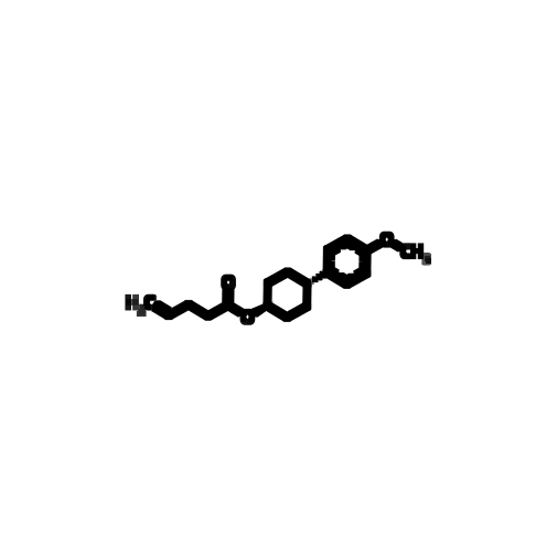 C=CCCC(=O)O[C@H]1CC[C@H](c2ccc(OC)cc2)CC1